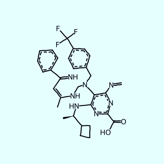 C=Nc1nc(C(=O)O)nc(N[C@H](C)C2CCC2)c1N(CN/C(C)=C\C(=N)c1ccccc1)Cc1ccc(C(F)(F)F)cc1